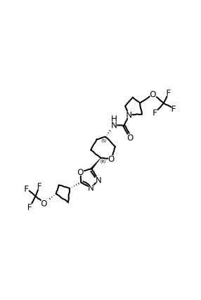 O=C(N[C@H]1CC[C@H](c2nnc([C@H]3C[C@@H](OC(F)(F)F)C3)o2)OC1)N1CCC(OC(F)(F)F)C1